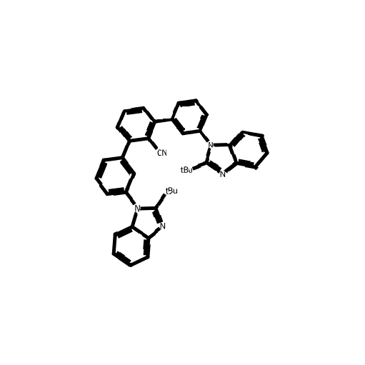 CC(C)(C)c1nc2ccccc2n1-c1cccc(-c2cccc(-c3cccc(-n4c(C(C)(C)C)nc5ccccc54)c3)c2C#N)c1